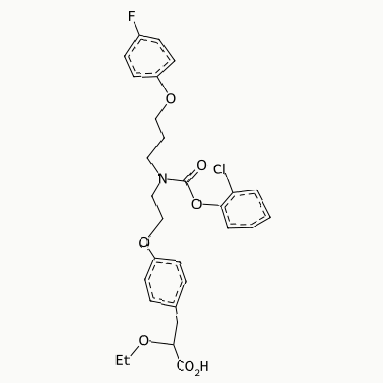 CCOC(Cc1ccc(OCCN(CCCOc2ccc(F)cc2)C(=O)Oc2ccccc2Cl)cc1)C(=O)O